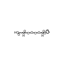 O=C(O)CCCNC(=O)CCOCCOCCOCCOCCNC(=O)OC1CC/C=C/CCC1